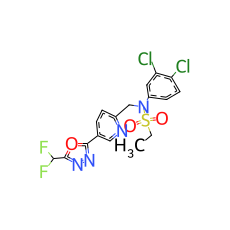 CCS(=O)(=O)N(Cc1ccc(-c2nnc(C(F)F)o2)cn1)c1ccc(Cl)c(Cl)c1